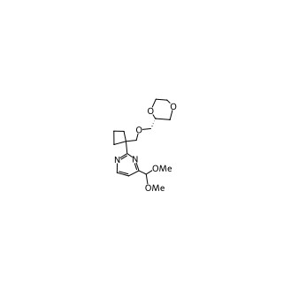 COC(OC)c1ccnc(C2(COC[C@H]3COCCO3)CCC2)n1